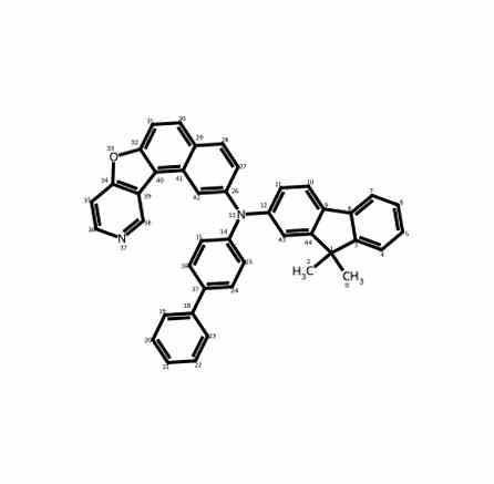 CC1(C)c2ccccc2-c2ccc(N(c3ccc(-c4ccccc4)cc3)c3ccc4ccc5oc6ccncc6c5c4c3)cc21